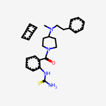 CN(CCc1ccccc1)C1CCN(C(=O)c2ccccc2NC(N)=S)CC1.c1cc2ccc1-2